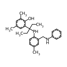 CCC(CC)(Pc1ccc(C)cc1CNc1ccccc1)c1cc(C)cc(C)c1O